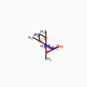 CCCCCCCCC(CCCCCCCC)OC(=O)CCCCCCCN(CCCCCCCC(=O)O)C(C)CNC(=O)CCC(=O)NCC(C)N(CCCCCCCC(=O)OC(CCCCCCCC)CCCCCCCC)CCCCCCCC(=O)OC(CCCCCCCC)CCCCCCCC